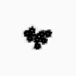 C(#C[Si](c1ccccc1)(c1ccccc1)c1ccccc1)C1=c2ccc(C3C=CC=CC3)cc2=C(c2ccccc2)c2cc(C3C=CC=CC3)ccc2C1